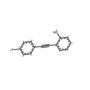 Oc1ccccc1C#Cc1ccc(F)cc1